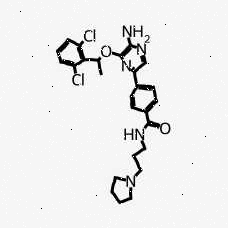 CC(Oc1nc(-c2ccc(C(=O)NCCCN3CCCC3)cc2)cnc1N)c1c(Cl)cccc1Cl